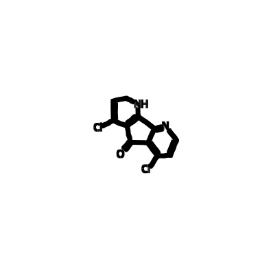 O=C1C2=C(NCC=C2Cl)c2nccc(Cl)c21